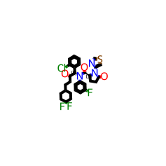 O=C(CCC1CCC(F)(F)CC1)[C@H](c1ccccc1Cl)N(C(=O)[C@@H]1CCC(=O)N1c1cscn1)c1cccc(F)c1